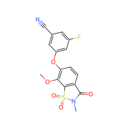 COc1c(Oc2cc(F)cc(C#N)c2)ccc2c1S(=O)(=O)N(C)C2=O